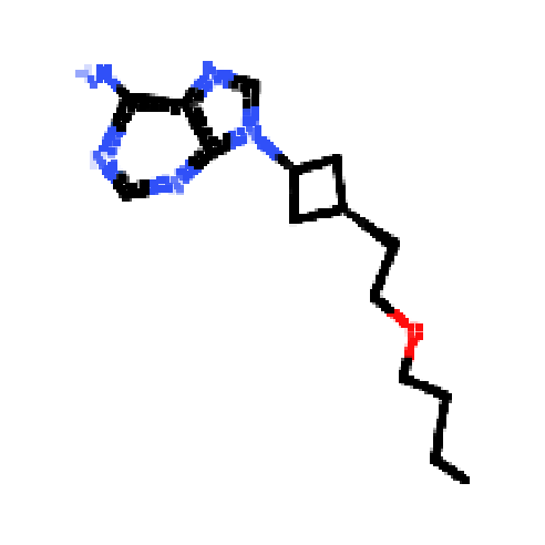 CCCCOCC[C@H]1C[C@@H](n2cnc3c(N)ncnc32)C1